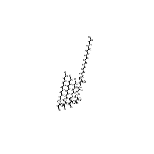 C=CC(=O)OCCC(C)C.C=CC(=O)OCCCCCCCC.C=CC(=O)OCCCCCCCCCC.C=CC(=O)OCCCCCCCCCCCC.C=CC(=O)OCCCCCCCCCCCCCCCCCC